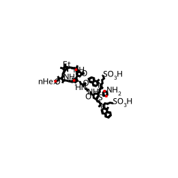 CCCCCCOC(C)c1c(C)c2cc3nc(c4c5[nH]c(cc6nc(cc1[nH]2)C(C)=C6CC)c(C)c5C(=O)C4)[C@@H](CCC(=O)NCCNC(=O)C1CC(/C=C/C(C)=[N+](\CCCCS(=O)(=O)O)c2ccc4ccccc4c2C)=C(Sc2ccc(N)cc2)C(=C/C=C(\C)N(CCCCS(=O)(=O)O)c2ccc4ccccc4c2C)/C1)[C@@H]3C